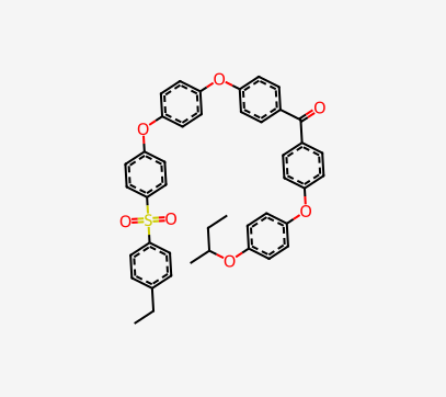 CCc1ccc(S(=O)(=O)c2ccc(Oc3ccc(Oc4ccc(C(=O)c5ccc(Oc6ccc(OC(C)CC)cc6)cc5)cc4)cc3)cc2)cc1